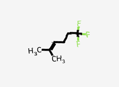 CC(C)=[C]CCC(F)(F)F